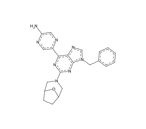 Nc1cnc(-c2nc(N3CC4CCC(C3)O4)nc3c2ncn3Cc2ccccc2)cn1